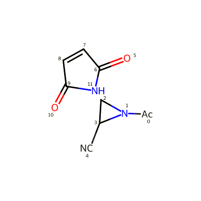 CC(=O)N1CC1C#N.O=C1C=CC(=O)N1